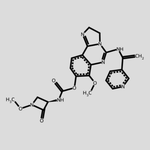 C=C(NC1=Nc2c(ccc(OC(=O)N[C@@H]3CN(OC)C3=O)c2OC)C2=NCCN12)c1cccnc1